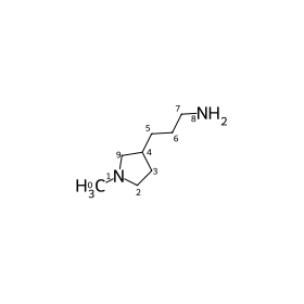 CN1CCC(CCCN)C1